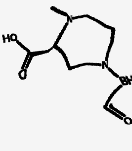 CN1CCN(BC=O)C[C@H]1C(=O)O